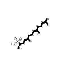 CCC(C/C=C(\C)CC/C=C(\C)CCC=C(C)C)P(=O)(O)O